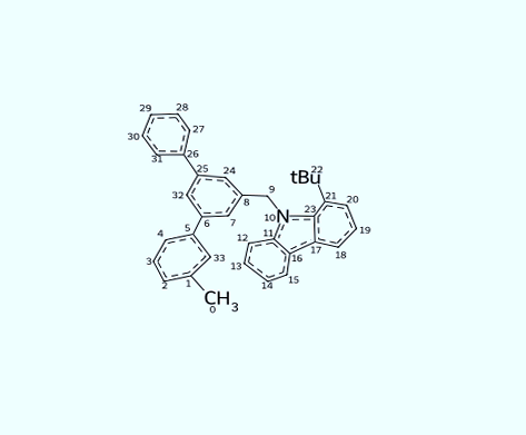 Cc1cccc(-c2cc(Cn3c4ccccc4c4cccc(C(C)(C)C)c43)cc(-c3ccccc3)c2)c1